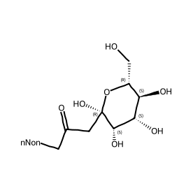 CCCCCCCCCCC(=O)C[C@@]1(O)O[C@H](CO)[C@@H](O)[C@H](O)[C@@H]1O